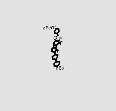 CCCCCC1CCC(COc2cc3c(c(F)c2F)-c2c-3ccc(C3CCC(C4CCC(CCCC)CC4)CC3)c2F)CC1